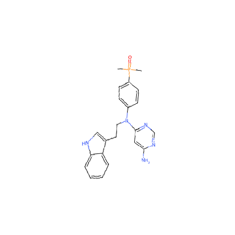 CP(C)(=O)c1ccc(N(CCc2c[nH]c3ccccc23)c2cc(N)ncn2)cc1